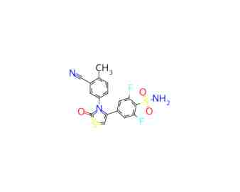 Cc1ccc(-n2c(-c3cc(F)c(S(N)(=O)=O)c(F)c3)csc2=O)cc1C#N